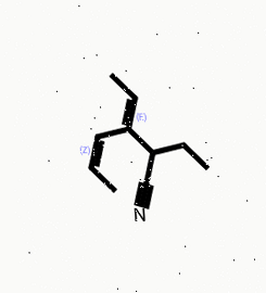 C/C=C\C(=C/C)C(C#N)CC